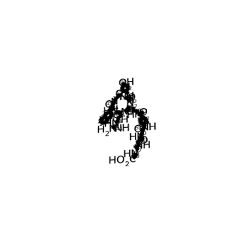 CN1C(=O)[C@@H](Cc2ccc(O)cc2)NC(=O)CNC(=O)[C@H](Cc2ccc3ccccc3c2)NC(=O)[C@H](CCCNC(=N)N)NC(=O)[C@H]1CCCNC(=O)c1ccc(NC(=O)CNC(=O)CNCCNCC(=O)O)cc1